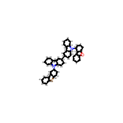 c1ccc2c(c1)oc1cccc(-n3c4ccccc4c4cc(-c5ccc6c(c5)c5ccccc5n6-c5ccc6sc7ccccc7c6c5)ccc43)c12